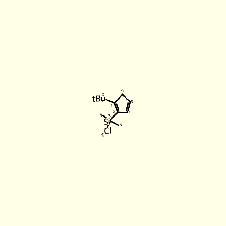 CC(C)(C)C1=C([Si](C)(C)Cl)C=CC1